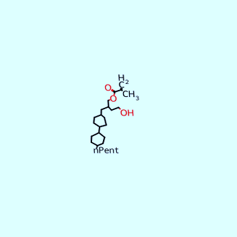 C=C(C)C(=O)OCC(CCO)CC1CCC(C2CCC(CCCCC)CC2)CC1